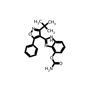 CC(C)(C)c1noc(-c2ccccc2)c1-c1nc2c(OC(N)=O)cccc2[nH]1